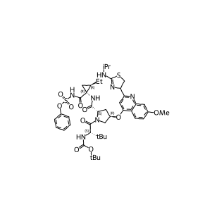 CC[C@@H]1C[C@]1(NC(=O)[C@@H]1C[C@@H](Oc2cc(C3CSC(NC(C)C)=N3)nc3cc(OC)ccc23)CN1C(=O)[C@@H](NC(=O)OC(C)(C)C)C(C)(C)C)C(=O)NS(=O)(=O)Oc1ccccc1